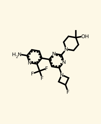 CC1(O)CCN(c2nc(-c3ccc(N)nc3C(F)(F)F)cc(N3CC(F)C3)n2)CC1